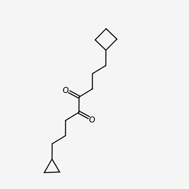 O=C(CCCC1CCC1)C(=O)CCCC1CC1